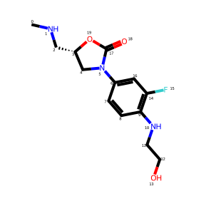 CNC[C@H]1CN(c2ccc(NCCO)c(F)c2)C(=O)O1